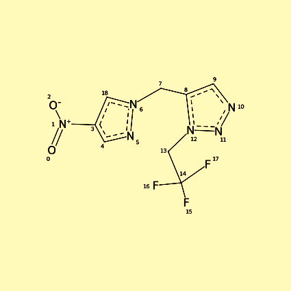 O=[N+]([O-])c1cnn(Cc2cnnn2CC(F)(F)F)c1